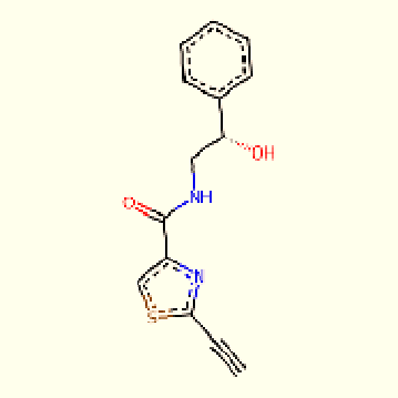 C#Cc1nc(C(=O)NC[C@@H](O)c2ccccc2)cs1